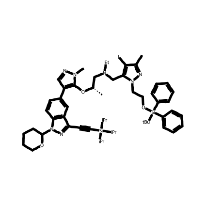 CCN(Cc1c(I)c(C)nn1CCO[Si](c1ccccc1)(c1ccccc1)C(C)(C)C)C[C@H](C)Oc1c(-c2ccc3c(c2)c(C#C[Si](C(C)C)(C(C)C)C(C)C)nn3C2CCCCO2)cnn1C